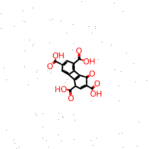 O=C(O)C1=CC(C(=O)O)C2=C(C1=O)c1c(C(=O)O)cc(C(=O)O)cc12